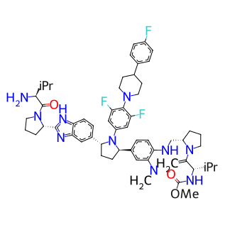 C=Nc1cc([C@H]2CC[C@H](c3ccc4[nH]c([C@@H]5CCCN5C(=O)[C@@H](N)C(C)C)nc4c3)N2c2cc(F)c(N3CCC(c4ccc(F)cc4)CC3)c(F)c2)ccc1NC[C@@H]1CCCN1C(=C)[C@@H](NC(=O)OC)C(C)C